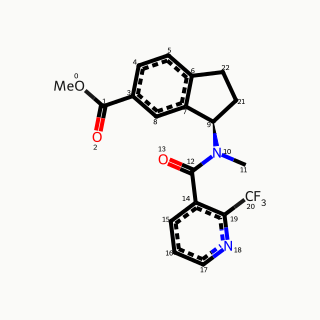 COC(=O)c1ccc2c(c1)[C@H](N(C)C(=O)c1cccnc1C(F)(F)F)CC2